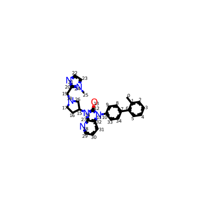 Cc1ccccc1-c1ccc(-n2c(=O)n(C3CCN(Cc4nccn4C)C3)c3ncccc32)cc1